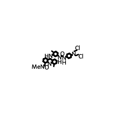 CNC(=O)c1cccc2c(Nc3cc(NC(=O)Nc4ccc(N(CCCl)CCCl)cc4)ccc3C)c3cccc(C)c3nc12